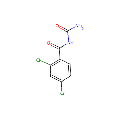 NC(=O)NC(=O)c1ccc(Cl)cc1Cl